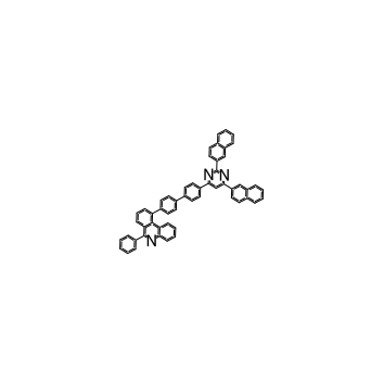 c1ccc(-c2nc3ccccc3c3c(-c4ccc(-c5ccc(-c6cc(-c7ccc8ccccc8c7)nc(-c7ccc8ccccc8c7)n6)cc5)cc4)cccc23)cc1